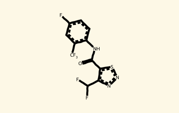 O=C(Nc1ccc(F)cc1C(F)(F)F)c1snnc1C(F)F